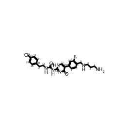 NCCCNCc1ccc(-c2c[nH]c(NC(=O)NCCc3ccc(Cl)cc3)nc2=O)cc1F